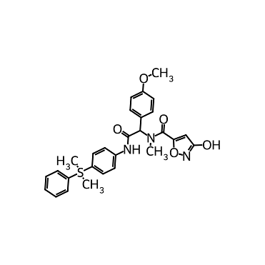 COc1ccc(C(C(=O)Nc2ccc(S(C)(C)c3ccccc3)cc2)N(C)C(=O)c2cc(O)no2)cc1